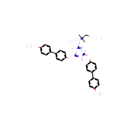 CC(C)(C)CC(C)(C)Nc1nc(Oc2ccc(-c3ccc(O)cc3)cc2)nc(Oc2ccc(-c3ccc(O)cc3)cc2)n1